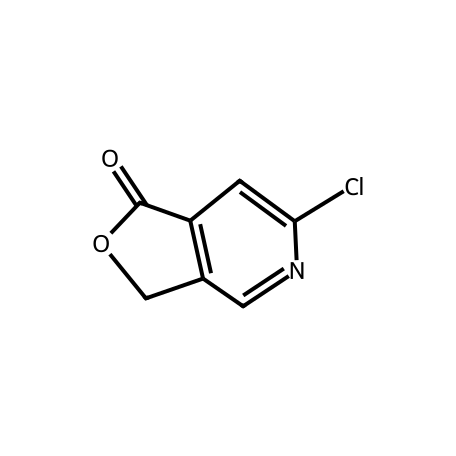 O=C1OCc2cnc(Cl)cc21